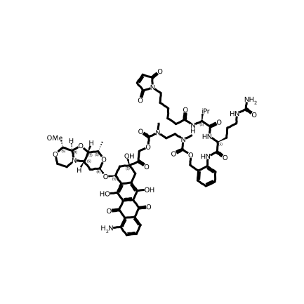 CO[C@H]1OCCN2[C@@H]1O[C@@H]1[C@H](C)O[C@@H](O[C@H]3C[C@](O)(C(=O)COC(=O)N(C)CCN(C)C(=O)OCc4ccccc4NC(=O)[C@H](CCCNC(N)=O)NC(=O)[C@@H](NC(=O)CCCCCN4C(=O)C=CC4=O)C(C)C)Cc4c(O)c5c(c(O)c43)C(=O)c3c(N)cccc3C5=O)C[C@@H]12